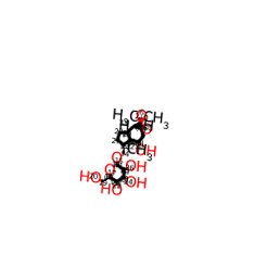 CC(C)[C@@H]1C2C(=O)OC1[C@H](O)[C@]1(C)[C@@H](CO[C@@H]3O[C@H](CO)[C@@H](O)[C@H](O)[C@H]3O)CC[C@H]21